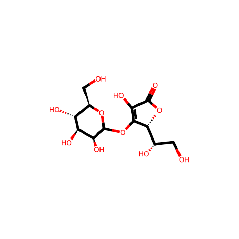 O=C1O[C@H]([C@@H](O)CO)C(OC2O[C@H](CO)[C@@H](O)[C@H](O)[C@@H]2O)=C1O